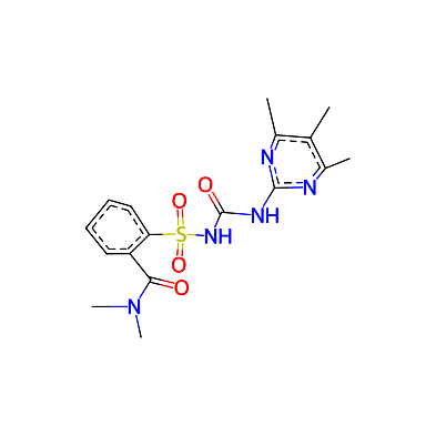 Cc1nc(NC(=O)NS(=O)(=O)c2ccccc2C(=O)N(C)C)nc(C)c1C